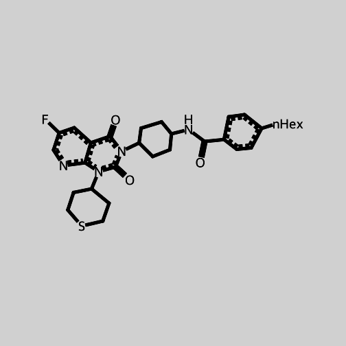 CCCCCCc1ccc(C(=O)NC2CCC(n3c(=O)c4cc(F)cnc4n(C4CCSCC4)c3=O)CC2)cc1